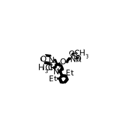 CCc1cccc(CC)c1-c1cc(OCCNS(C)(=O)=O)c(CN2CCOCC2(C)C)c(C)n1